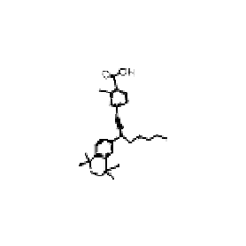 CCCCCC(C#Cc1ccc(C(=O)O)c(C)c1)c1ccc2c(c1)C(C)(C)CCC2(C)C